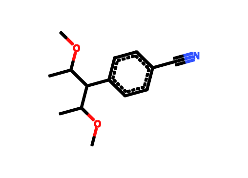 COC(C)C(c1ccc(C#N)cc1)C(C)OC